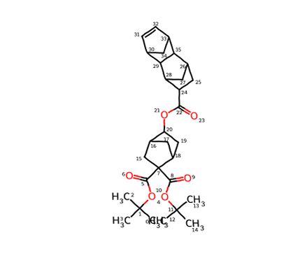 CC(C)(C)OC(=O)C1(C(=O)OC(C)(C)C)CC2CC1CC2OC(=O)C1CC2CC1C1C3C=CC(C3)C21